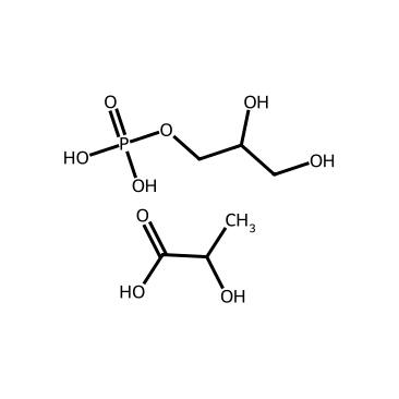 CC(O)C(=O)O.O=P(O)(O)OCC(O)CO